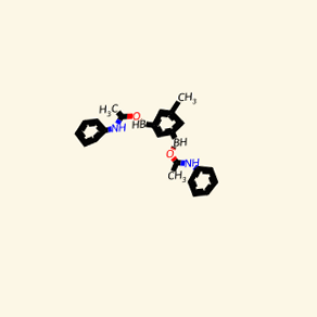 Cc1cc(BOC(C)Nc2ccccc2)cc(BOC(C)Nc2ccccc2)c1